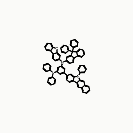 c1ccc(N(c2ccccc2)c2cc(-c3ccc4c5cc6ccccc6cc5n(-c5ccccc5)c4c3)cc(N(c3ccc4c(c3)C(c3ccccc3)(c3ccccc3)c3ccccc3-4)c3ccc4c(c3)oc3ccccc34)c2)cc1